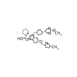 COc1ncc(-c2ccc(Cn3c([C@H]4CCCC[C@H]4C(=O)O)nc4ccc(OCc5ccc(C)cn5)cc43)cc2)cn1